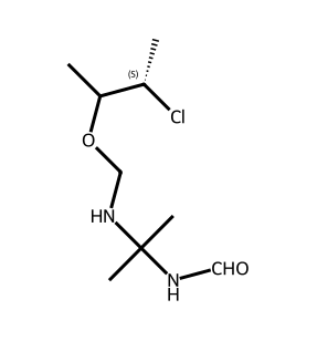 CC(OCNC(C)(C)NC=O)[C@H](C)Cl